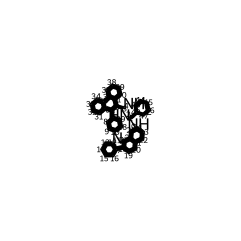 N=C(NC(N)c1c(-c2ccc(-n3c4ccccc4c4ccc5ccccc5c43)cc2)c2ccccc2c2ccccc12)C1C=CC=CC1